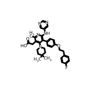 Cc1nc(Nc2cncnc2)c(-c2ccc(OCCc3ccc(F)cc3)cc2)c(N2CCC(C)(C)CC2)c1CC(=O)O